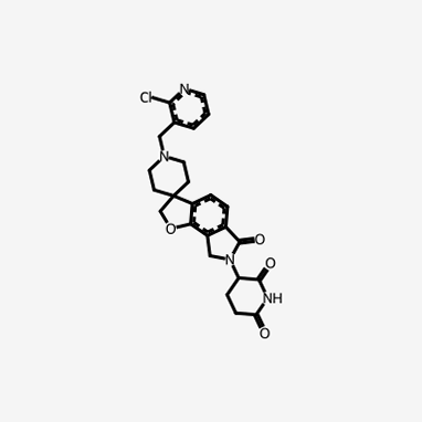 O=C1CCC(N2Cc3c(ccc4c3OCC43CCN(Cc4cccnc4Cl)CC3)C2=O)C(=O)N1